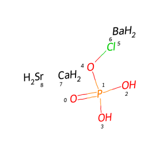 O=P(O)(O)OCl.[BaH2].[CaH2].[SrH2]